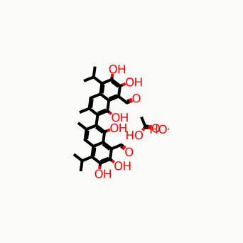 CC(=O)O.Cc1cc2c(C(C)C)c(O)c(O)c(C=O)c2c(O)c1-c1c(C)cc2c(C(C)C)c(O)c(O)c(C=O)c2c1O.[OH]